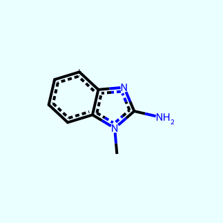 Cn1c(N)nc2[c]cccc21